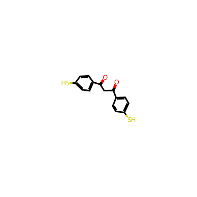 O=C(CC(=O)c1ccc(S)cc1)c1ccc(S)cc1